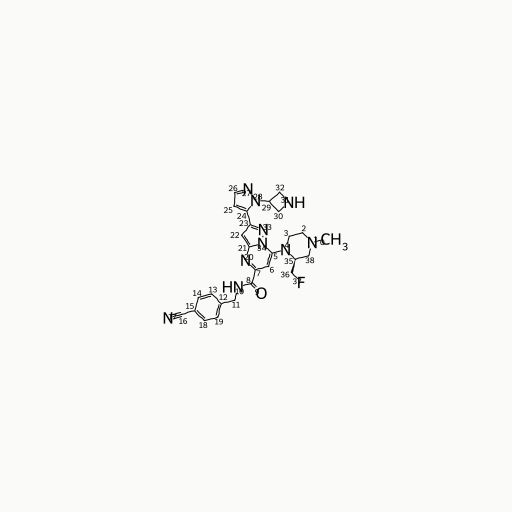 CN1CCN(c2cc(C(=O)NCc3ccc(C#N)cc3)nc3cc(-c4ccnn4C4CNC4)nn23)[C@H](CF)C1